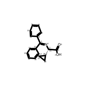 O=C(O)[C@@H](N=C(c1ccccc1)c1ccccc1)C1CC1